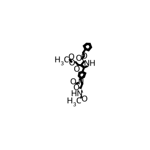 CC(=O)NC[C@H]1CN(c2ccc(C3=C(C(=O)COC(C)=O)[C@@H](C(=O)OCc4ccccc4)NC3)cc2)C(=O)O1